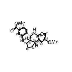 COC(=O)c1ccc([C@@H]2Nc3ccc(OC)cc3[C@@H]3CCC[C@@H]32)c(Br)c1